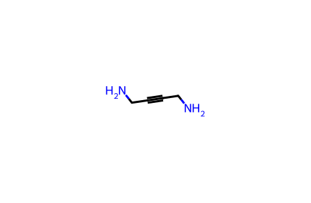 NCC#CCN